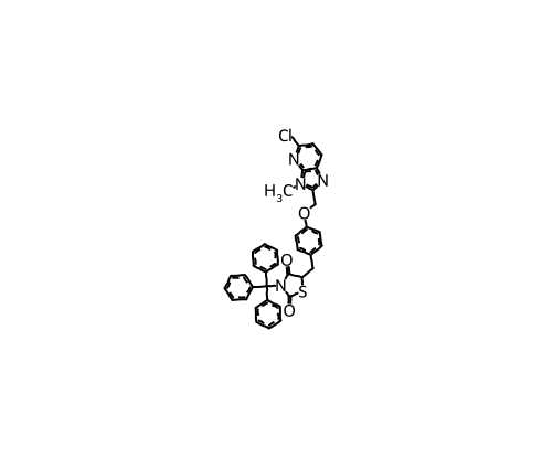 Cn1c(COc2ccc(CC3SC(=O)N(C(c4ccccc4)(c4ccccc4)c4ccccc4)C3=O)cc2)nc2ccc(Cl)nc21